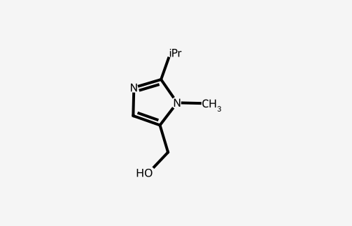 CC(C)c1ncc(CO)n1C